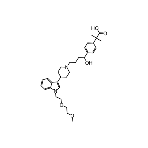 COCCOCCn1cc(C2CCN(CCCC(O)c3ccc(C(C)(C)C(=O)O)cc3)CC2)c2ccccc21